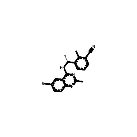 Cc1nc(N[C@H](C)c2cccc(C#N)c2C)c2cc(Br)ccc2n1